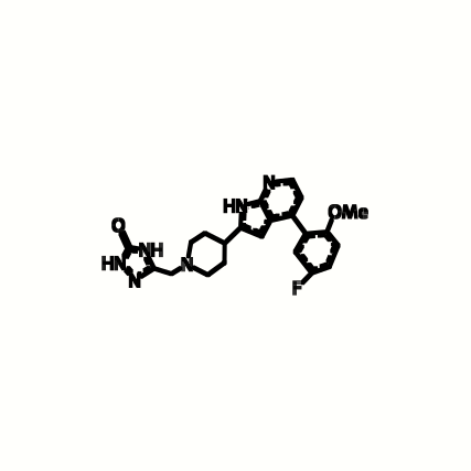 COc1ccc(F)cc1-c1ccnc2[nH]c(C3CCN(Cc4n[nH]c(=O)[nH]4)CC3)cc12